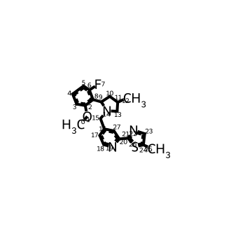 COc1cccc(F)c1C1CC(C)CN1Cc1ccnc(-c2ncc(C)s2)c1